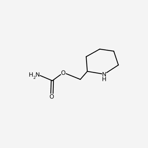 NC(=O)OCC1CCCCN1